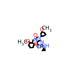 COc1cccc(-n2c(=O)n(Cc3c(OC)cccc3OC)c3cnc(NC4CC4)nc32)c1